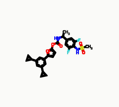 CC(NC(=O)Oc1ccc(-c2cc(C3CC3)cc(C3CC3)c2)o1)c1cc(F)c(NS(C)(=O)=O)c(F)c1